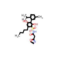 C=C(C)c1ccc(C)cc1-c1c(O)cc(CCCCC)c(S(=O)(=O)NC(=O)Cc2ncco2)c1O